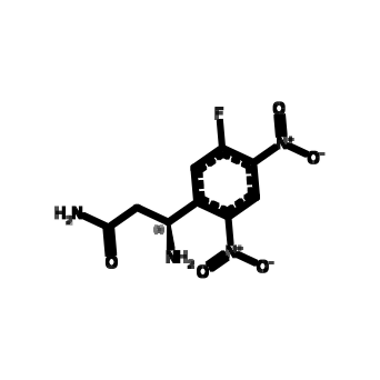 NC(=O)C[C@H](N)c1cc(F)c([N+](=O)[O-])cc1[N+](=O)[O-]